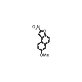 COc1ccc2c(ccc3oc([N+](=O)[O-])cc32)c1